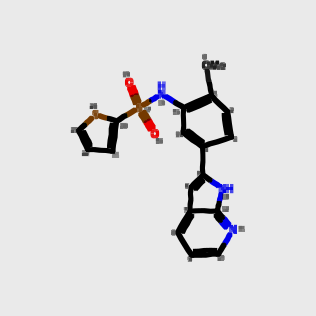 COc1ccc(-c2cc3cccnc3[nH]2)cc1NS(=O)(=O)c1cccs1